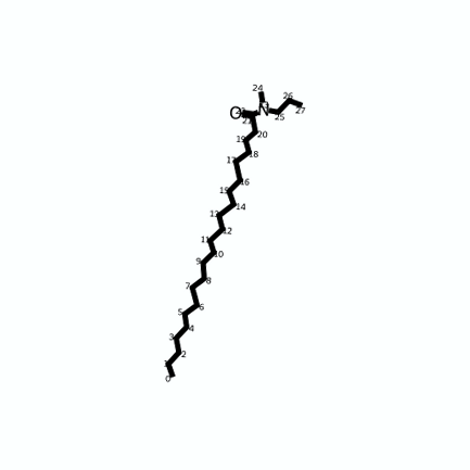 CCCCCCCCCCCCCCCCCCCCCC(=O)N(C)CCC